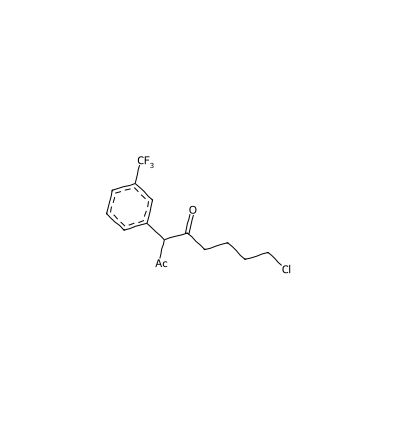 CC(=O)C(C(=O)CCCCCl)c1cccc(C(F)(F)F)c1